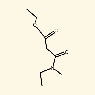 CCOC(=O)CC(=O)N(C)CC